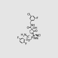 Cl.N[C@H]1C[C@H]([C@]2(N3CCC(O)(C(=O)NCc4cc(F)cc(Cl)c4)C3=O)C=CN=N2)CO[C@@H]1c1cc(F)ccc1F